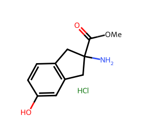 COC(=O)C1(N)Cc2ccc(O)cc2C1.Cl